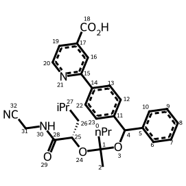 CCCC(C)(OC(c1ccccc1)c1ccc(-c2cc(C(=O)O)ccn2)cc1)O[C@@H](CC(C)C)C(=O)NCC#N